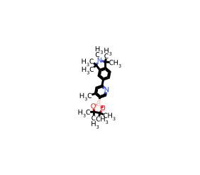 Cc1cc(-c2ccc3c(c2)C(C)(C)N(C)C3(C)C)ncc1B1OC(C)(C)C(C)(C)O1